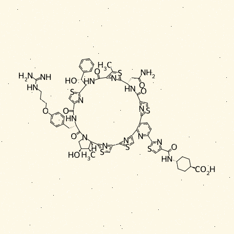 Cc1sc2nc1C(=O)N[C@@H]([C@H](O)c1ccccc1)c1nc(cs1)C(=O)N[C@@H](Cc1ccc(OCCCNC(=N)N)cc1)C(=O)N1C[C@H](O)[C@H](C)[C@H]1c1nc(cs1)-c1nc(cs1)-c1nc(-c3nc(C(=O)N[C@H]4CC[C@H](C(=O)O)CC4)cs3)ccc1-c1nc(cs1)C(=O)N[C@H]2CC(N)=O